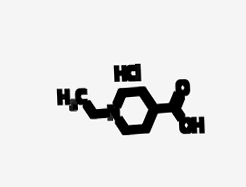 CCN1CCC(C(=O)O)CC1.Cl